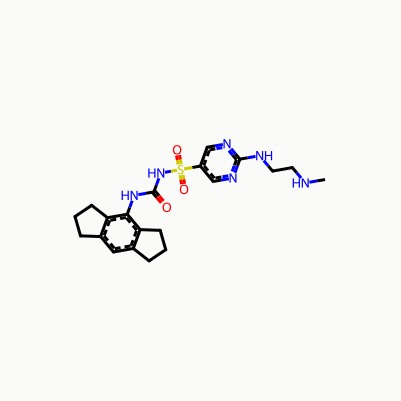 CNCCNc1ncc(S(=O)(=O)NC(=O)Nc2c3c(cc4c2CCC4)CCC3)cn1